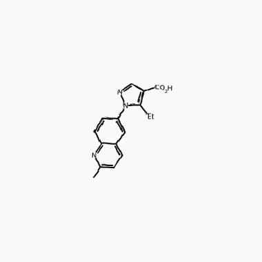 CCc1c(C(=O)O)cnn1-c1ccc2nc(C)ccc2c1